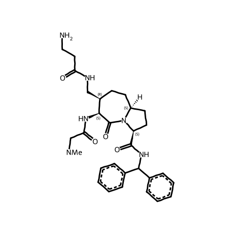 CNCC(=O)N[C@@H]1C(=O)N2[C@@H](CC[C@@H]1CNC(=O)CCN)CC[C@H]2C(=O)NC(c1ccccc1)c1ccccc1